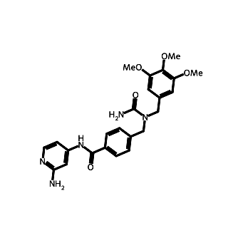 COc1cc(CN(Cc2ccc(C(=O)Nc3ccnc(N)c3)cc2)C(N)=O)cc(OC)c1OC